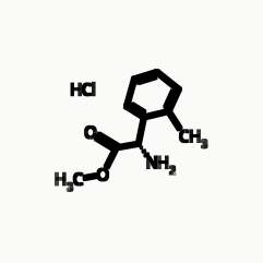 COC(=O)[C@@H](N)c1ccccc1C.Cl